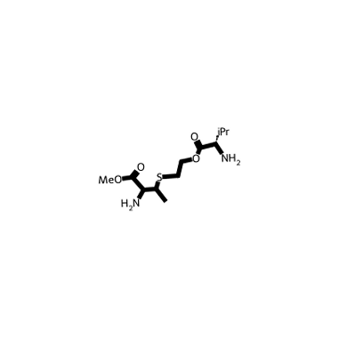 COC(=O)C(N)C(C)SCCOC(=O)[C@@H](N)C(C)C